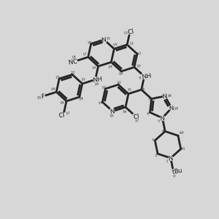 CC(C)(C)N1CCC(n2cc(C(Nc3cc(Cl)c4ncc(C#N)c(Nc5ccc(F)c(Cl)c5)c4c3)c3cccnc3Cl)nn2)CC1